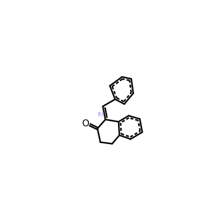 O=C1CCc2ccccc2/C1=C\c1ccccc1